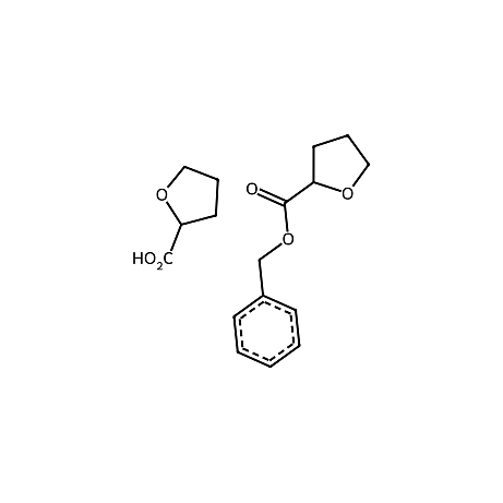 O=C(O)C1CCCO1.O=C(OCc1ccccc1)C1CCCO1